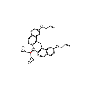 C=CCOc1ccc2ccc(OCC3CO3)c(Cc3c(OCC4CO4)ccc4ccc(OCC=C)cc34)c2c1